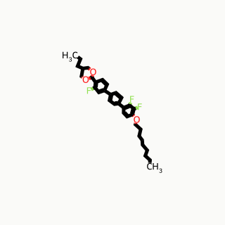 CCCCCCCCCOc1ccc(-c2ccc(-c3ccc(C4OCC(CCC)CO4)c(F)c3)cc2)c(F)c1F